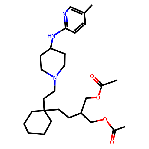 CC(=O)OCC(CCC1(CCN2CCC(Nc3ccc(C)cn3)CC2)CCCCC1)COC(C)=O